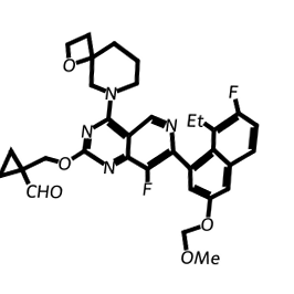 CCc1c(F)ccc2cc(OCOC)cc(-c3ncc4c(N5CCCC6(CCO6)C5)nc(OCC5(C=O)CC5)nc4c3F)c12